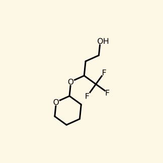 OCCC(OC1CCCCO1)C(F)(F)F